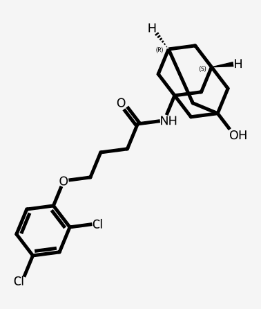 O=C(CCCOc1ccc(Cl)cc1Cl)NC12C[C@@H]3C[C@@H](CC(O)(C3)C1)C2